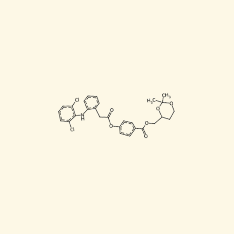 CC1(C)OCCC(COC(=O)c2ccc(OC(=O)Cc3ccccc3Nc3c(Cl)cccc3Cl)cc2)O1